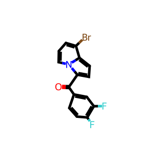 O=C(c1ccc(F)c(F)c1)c1ccc2c(Br)cccn12